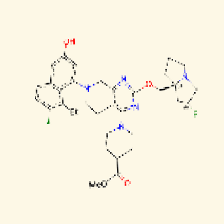 CCc1c(F)ccc2cc(O)cc(N3CCc4c(nc(OC[C@@]56CCCN5C[C@H](F)C6)nc4N4CCC(C(=O)OC)CC4)C3)c12